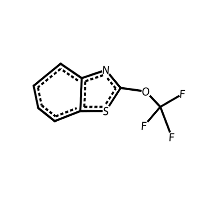 FC(F)(F)Oc1nc2ccccc2s1